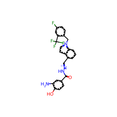 Nc1cc(C(=O)N/N=C/c2cccc3c2ccn3Cc2ccc(F)cc2C(F)(F)F)ccc1O